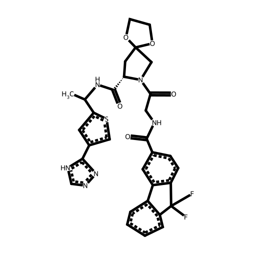 CC(NC(=O)[C@@H]1CC2(CN1C(=O)CNC(=O)c1ccc3c(c1)-c1ccccc1C3(F)F)OCCO2)c1cc(-c2nnc[nH]2)cs1